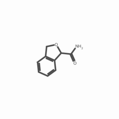 NC(=O)C1OCc2[c]cccc21